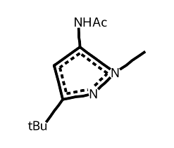 CC(=O)Nc1cc(C(C)(C)C)nn1C